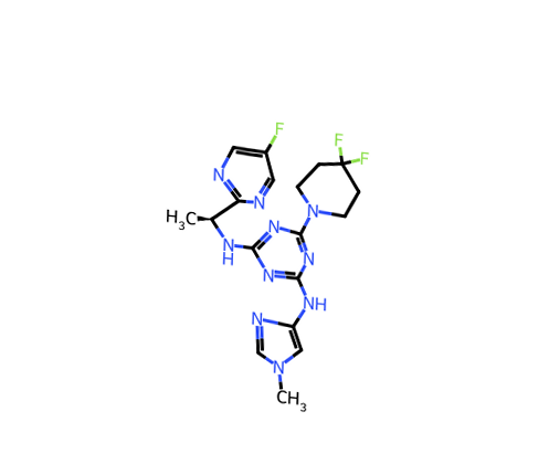 C[C@H](Nc1nc(Nc2cn(C)cn2)nc(N2CCC(F)(F)CC2)n1)c1ncc(F)cn1